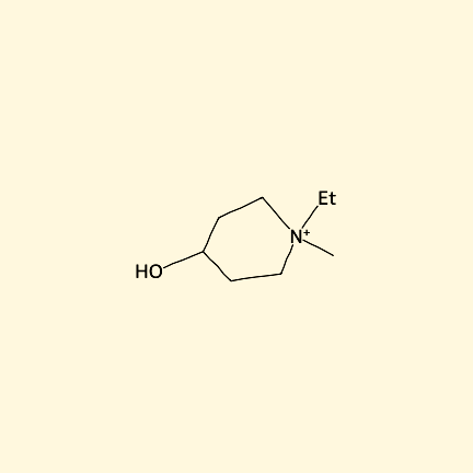 CC[N+]1(C)CCC(O)CC1